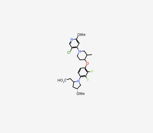 COc1cc(N2CCC(Oc3ccc(N4C[C@H](OC)CC4CC(=O)O)c(F)c3F)C(C)C2)c(Cl)cn1